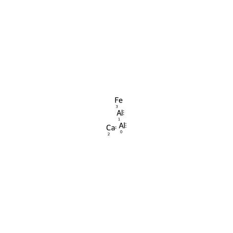 [Al].[Al].[Ca].[Fe]